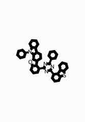 c1ccc(-c2nc(-c3cccc4oc5c(ccc6c7ccccc7n(-c7ccccc7)c65)c34)nc(-c3cccc4sc5ccccc5c34)n2)cc1